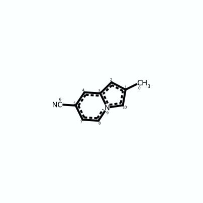 Cc1cc2cc(C#N)ccn2c1